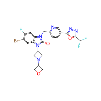 O=c1n(Cc2ccc(-c3nnc(C(F)F)o3)cn2)c2cc(F)c(Br)cc2n1C1CN(C2COC2)C1